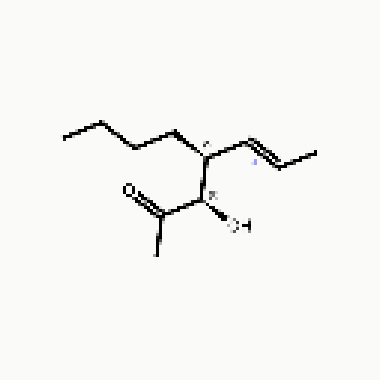 C/C=C/[C@H](CCCC)[C@@H](O)C(C)=O